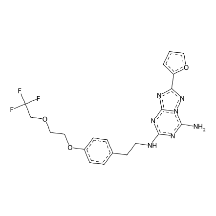 Nc1nc(NCCc2ccc(OCCOCC(F)(F)F)cc2)nc2nc(-c3ccco3)nn12